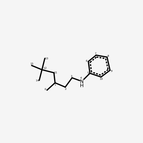 CC(CCNc1ccccc1)CC(C)(C)C